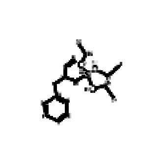 C=CC(Cc1ccccc1)C[Si](OCC)(OCC)OCC